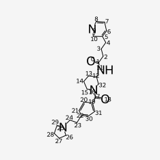 O=C(CCCc1cccnc1)NC1CCCN(C(=O)c2ccc(CCN3CCCC3)cc2)C1